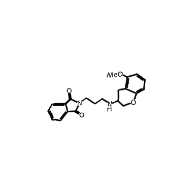 COc1cccc2c1CC(NCCCN1C(=O)c3ccccc3C1=O)CO2